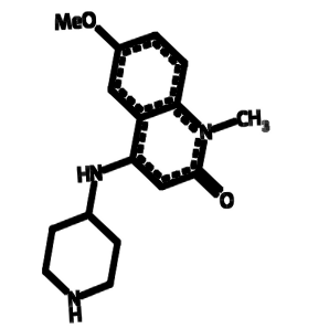 COc1ccc2c(c1)c(NC1CCNCC1)cc(=O)n2C